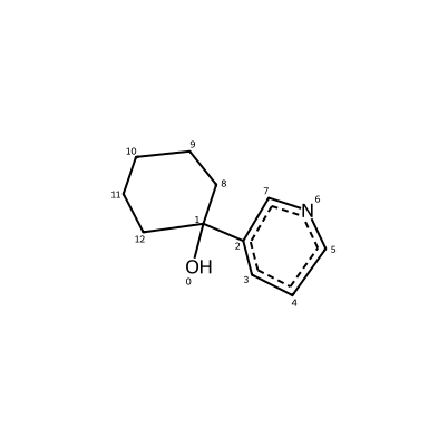 OC1(c2cccnc2)CCCCC1